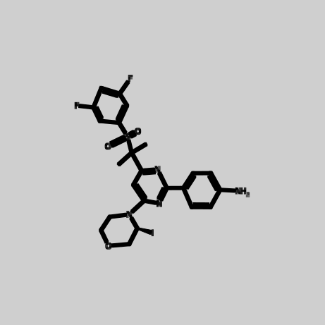 CC(C)(c1cc(N2CCOC[C@@H]2I)nc(-c2ccc(N)cc2)n1)S(=O)(=O)c1cc(F)cc(F)c1